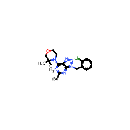 CC(C)(C)c1nc(N2CCOCC2(C)C)c2nnn(Cc3ccccc3Cl)c2n1